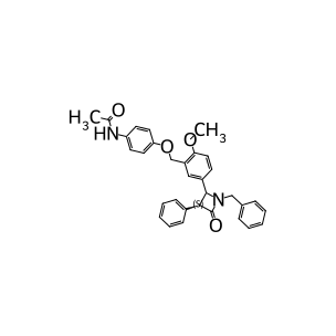 COc1ccc(C2[C@H](c3ccccc3)C(=O)N2Cc2ccccc2)cc1COc1ccc(NC(C)=O)cc1